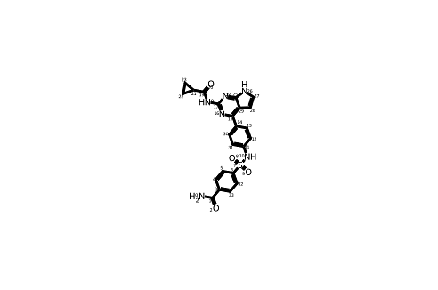 NC(=O)c1ccc(S(=O)(=O)Nc2ccc(-c3nc(NC(=O)C4CC4)nc4[nH]ccc34)cc2)cc1